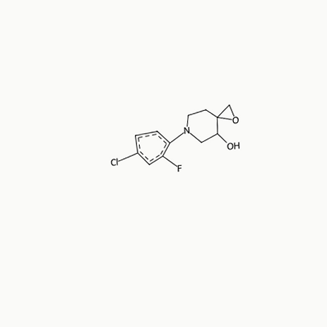 OC1CN(c2ccc(Cl)cc2F)CCC12CO2